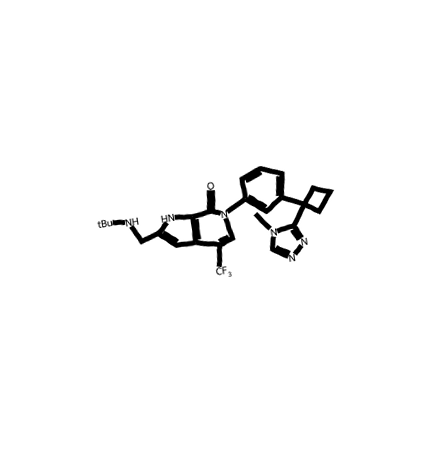 Cn1cnnc1C1(c2cccc(-n3cc(C(F)(F)F)c4cc(CNC(C)(C)C)[nH]c4c3=O)c2)CCC1